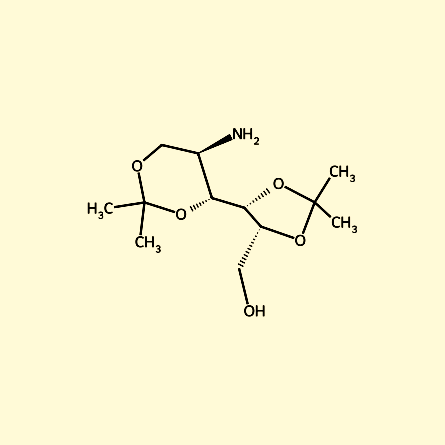 CC1(C)OC[C@@H](N)[C@H]([C@@H]2OC(C)(C)O[C@@H]2CO)O1